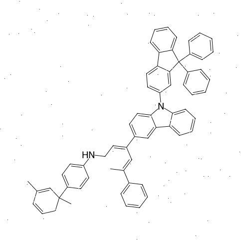 CC1=CC(C)(c2ccc(NC/C=C(\C=C(/C)c3ccccc3)c3ccc4c(c3)c3ccccc3n4-c3ccc4c(c3)C(c3ccccc3)(c3ccccc3)c3ccccc3-4)cc2)CC=C1